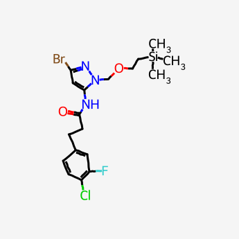 C[Si](C)(C)CCOCn1nc(Br)cc1NC(=O)CCc1ccc(Cl)c(F)c1